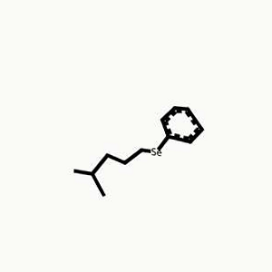 C[C](C)CCC[Se]c1ccccc1